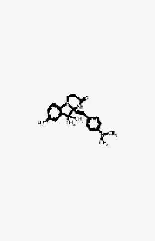 Cc1ccc2c(c1)C(C)(C)C1(C=Cc3ccc(N(C)C)cc3)NC(=O)CCN21